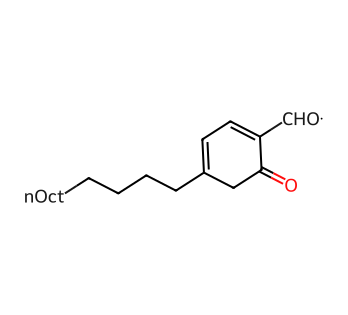 CCCCCCCCCCCCC1=CC=C([C]=O)C(=O)C1